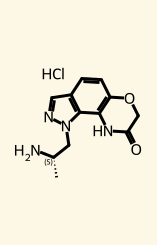 C[C@H](N)Cn1ncc2ccc3c(c21)NC(=O)CO3.Cl